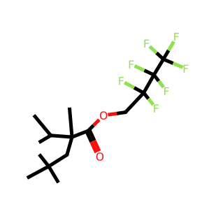 CC(C)C(C)(CC(C)(C)C)C(=O)OCC(F)(F)C(F)(F)C(F)(F)F